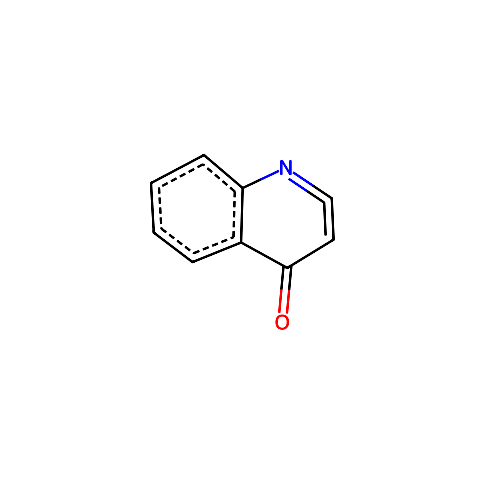 O=C1C=C=Nc2ccccc21